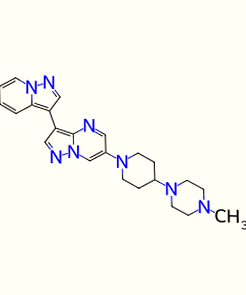 CN1CCN(C2CCN(c3cnc4c(-c5cnn6ccccc56)cnn4c3)CC2)CC1